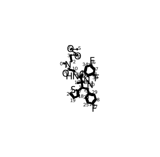 CN(CCS(C)(=O)=O)C(=O)CNC(=O)C1(C)C(c2cccs2)C(c2ccc(F)cc2)=NN1c1ccc(F)cc1F